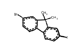 CC1(C)c2cc(Br)ccc2-c2ccc(I)cc21